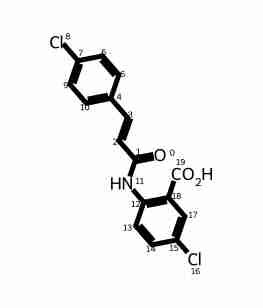 O=C(/C=C/c1ccc(Cl)cc1)Nc1ccc(Cl)cc1C(=O)O